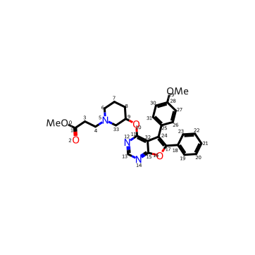 COC(=O)CCN1CCCC(Oc2ncnc3oc(-c4ccccc4)c(-c4ccc(OC)cc4)c23)C1